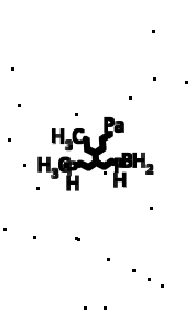 BPCCC(CCPC)C(CCC)CC[CH2][Pa]